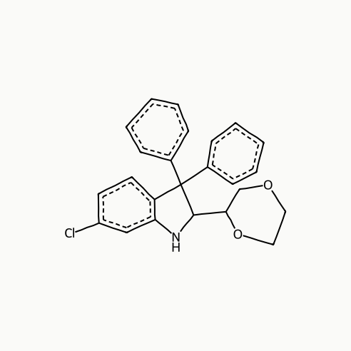 Clc1ccc2c(c1)NC(C1COCCO1)C2(c1ccccc1)c1ccccc1